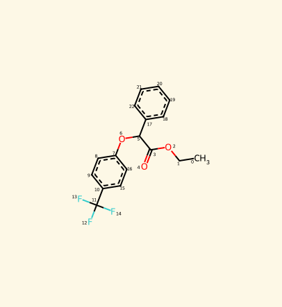 CCOC(=O)C(Oc1ccc(C(F)(F)F)cc1)c1ccccc1